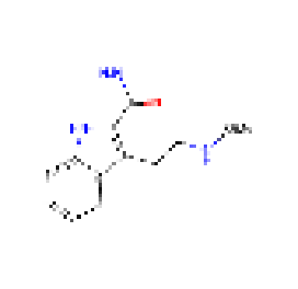 CONCCc1c(C(N)=O)[nH]c2ccccc12